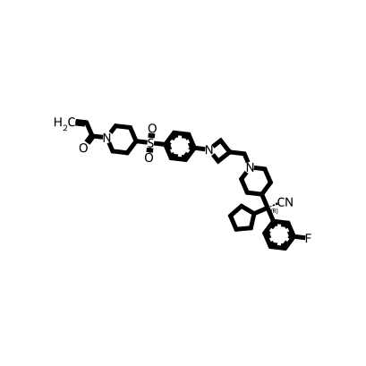 C=CC(=O)N1CCC(S(=O)(=O)c2ccc(N3CC(CN4CCC([C@@](C#N)(c5cccc(F)c5)C5CCCC5)CC4)C3)cc2)CC1